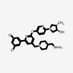 CC(=O)NCC1CCN(Cc2cc(Oc3ccc(N4C[C@H](C)[C@@H](O)C4)nc3)nc(-c3cc(Cl)cc(Cl)c3)c2)CC1